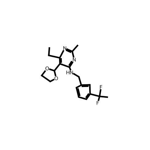 CCc1nc(C)nc(NCc2cccc(C(C)(F)F)c2)c1C1OCCO1